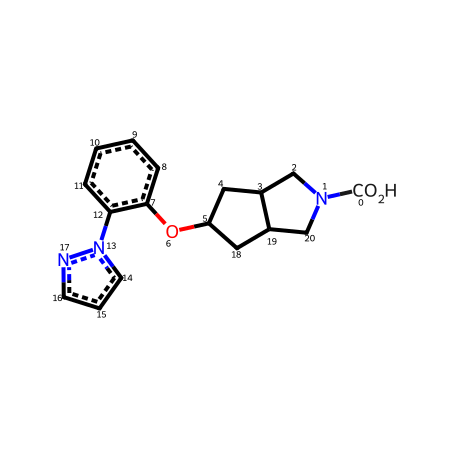 O=C(O)N1CC2CC(Oc3ccccc3-n3cccn3)CC2C1